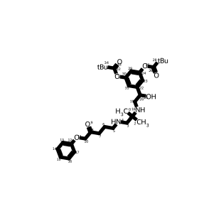 CC(C)(CNCCCC(=O)COc1ccccc1)NCC(O)c1cc(OC(=O)C(C)(C)C)cc(OC(=O)C(C)(C)C)c1